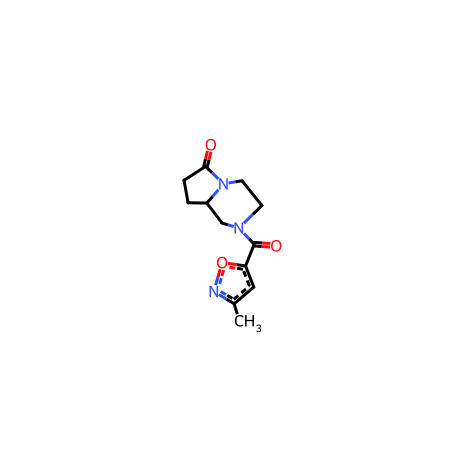 Cc1cc(C(=O)N2CCN3C(=O)CCC3C2)on1